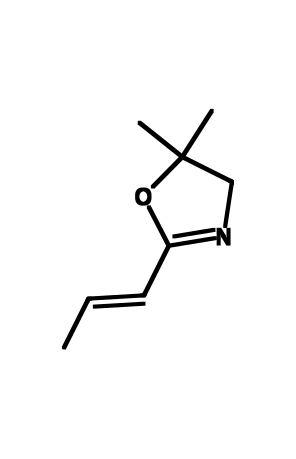 CC=CC1=NCC(C)(C)O1